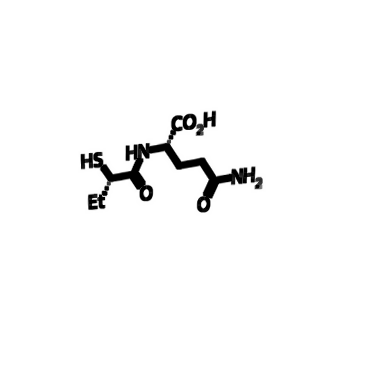 CC[C@H](S)C(=O)N[C@@H](CCC(N)=O)C(=O)O